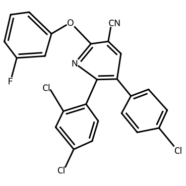 N#Cc1cc(-c2ccc(Cl)cc2)c(-c2ccc(Cl)cc2Cl)nc1Oc1cccc(F)c1